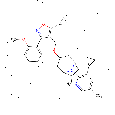 C[C@@H]1CC2CC(OCc3c(-c4ccccc4OC(F)(F)F)noc3C3CC3)CC1N2c1ncc(C(=O)O)cc1C1CC1